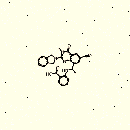 CC(Nc1ccccc1C(=O)O)c1cc(C#N)cc2c(=O)n(C)c(N3Cc4ccccc4C3)nc12